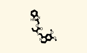 CCC(SCc1nccc2cc(OC)c(OC)cc12)C(=O)OCc1nc2ccccc2[nH]1